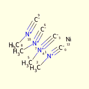 [C-]#[N+]C.[C-]#[N+]C.[C-]#[N+]C.[C-]#[N+]C.[Ni]